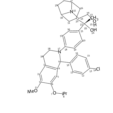 COc1cc2c(cc1OC(C)C)C(c1ccc(Cl)cc1)N(c1ccc([C@@](C)(O)C3CC4CCC(C3)N4CCO)cc1)CC2